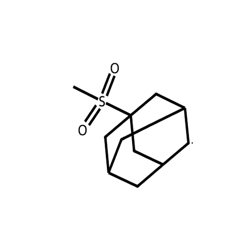 CS(=O)(=O)C12CC3[CH]C(CC(C3)C1)C2